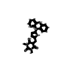 CN1C(=O)C(Cc2ccc(N3c4ccccc4Sc4cccnc43)s2)C(=O)N(C)C1=O